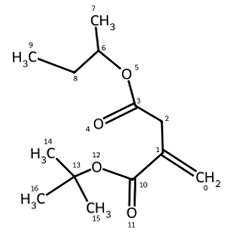 C=C(CC(=O)OC(C)CC)C(=O)OC(C)(C)C